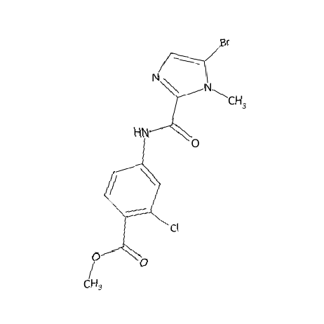 COC(=O)c1ccc(NC(=O)c2ncc(Br)n2C)cc1Cl